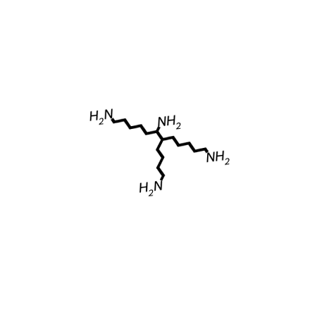 NCCCCCC(N)C(CCCCN)CCCCCN